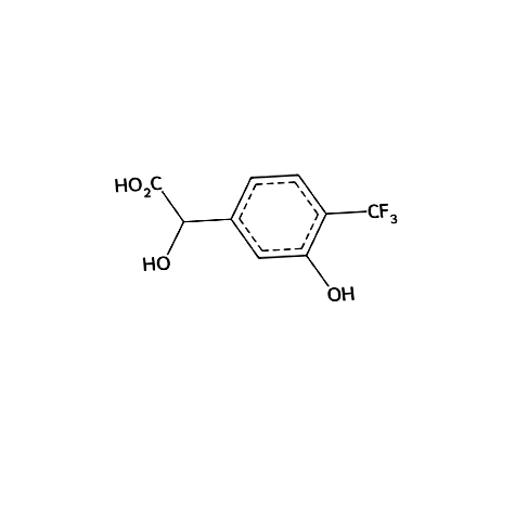 O=C(O)C(O)c1ccc(C(F)(F)F)c(O)c1